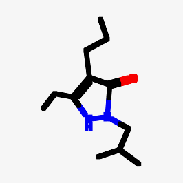 CCCc1c(CC)[nH]n(CC(C)C)c1=O